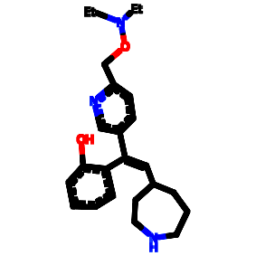 CCN(CC)OCc1ccc(/C(=C/C2CCCNCC2)c2ccccc2O)cn1